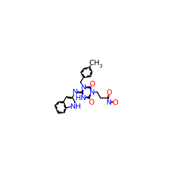 Cc1ccc(Cn2c(=O)n(CCC(=O)N=O)c(=O)[nH]/c2=N\C2=Cc3ccccc3NC2)cc1